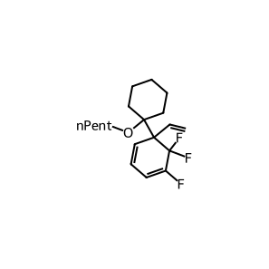 C=CC1(C2(OCCCCC)CCCCC2)C=CC=C(F)C1(F)F